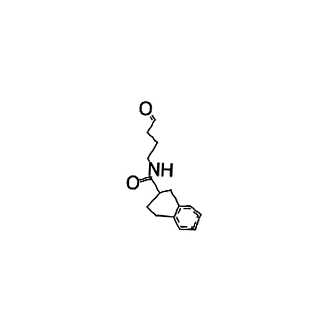 O=CCCCNC(=O)C1CCc2ccccc2C1